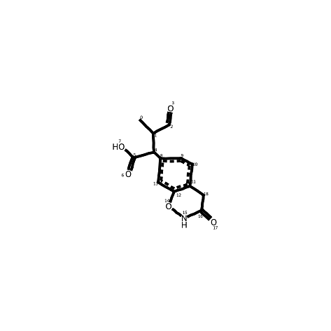 CC(C=O)C(C(=O)O)c1ccc2c(c1)ONC(=O)C2